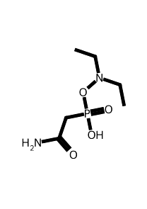 CCN(CC)OP(=O)(O)CC(N)=O